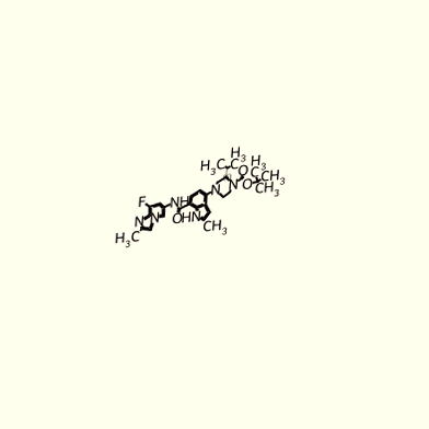 Cc1cn2cc(NC(=O)c3ccc(N4CCN(C(=O)OC(C)(C)C)[C@@H](C(C)C)C4)c4cc(C)[nH]c34)cc(F)c2n1